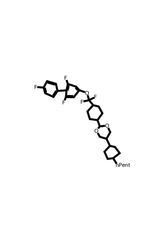 CCCCCC1CCC(C2COC(C3CCC(C(F)(F)Oc4cc(F)c(-c5ccc(F)cc5)c(F)c4)CC3)OC2)CC1